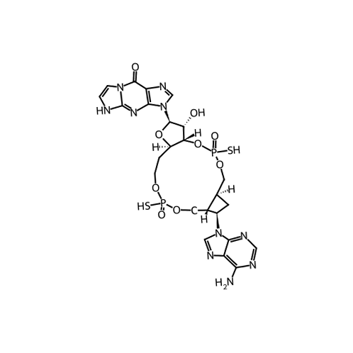 Nc1ncnc2c1ncn2[C@@H]1C[C@@H]2COP(=O)(S)O[C@H]3[C@@H](O)[C@H](n4cnc5c(=O)n6cc[nH]c6nc54)O[C@@H]3CCOP(=O)(S)OC[C@H]21